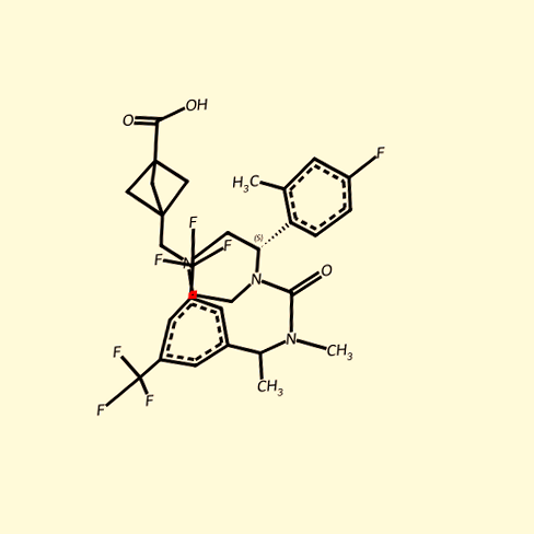 Cc1cc(F)ccc1[C@H]1CN(CC23CC(C(=O)O)(C2)C3)CCN1C(=O)N(C)C(C)c1cc(C(F)(F)F)cc(C(F)(F)F)c1